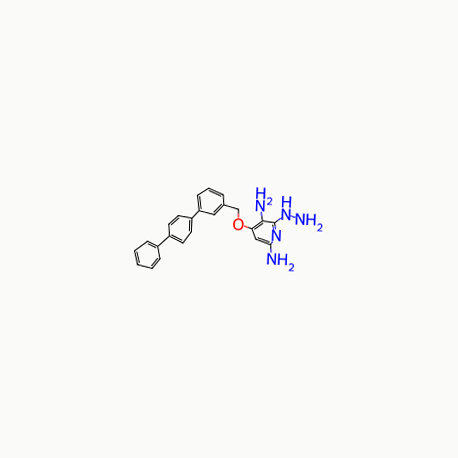 NNc1nc(N)cc(OCc2cccc(-c3ccc(-c4ccccc4)cc3)c2)c1N